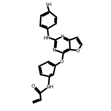 C=CC(=O)Nc1cccc(Oc2nc(Nc3ccc(S)cc3)nc3ccoc23)c1